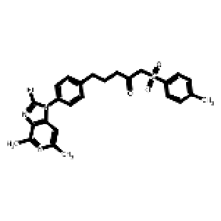 CCc1nc2c(C)nc(C)cc2n1-c1ccc(CCCC(=O)CS(=O)(=O)c2ccc(C)cc2)cc1